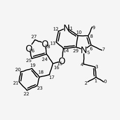 CC(C)=CCn1c(C)c(C)c2nccc(OC(Cc3ccccc3)C3=COCO3)c21